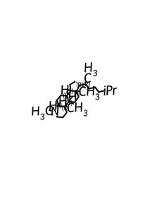 CC(C)CCC[C@@H](C)[C@H]1CC[C@H]2[C@@H]3CC[C@H]4N(C)CCC[C@]4(C)[C@H]3CC[C@]12C